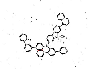 CC1(C)c2cc(-c3cccc4ccccc34)ccc2-c2ccc(N(c3ccc(-c4cccc5c4sc4ccccc45)cc3)c3cc(-c4ccccc4)ccc3-c3ccccc3)cc21